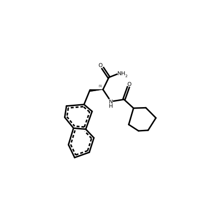 NC(=O)[C@H](Cc1ccc2ccccc2c1)NC(=O)C1CCCCC1